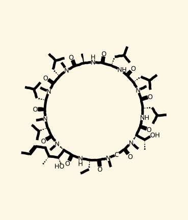 C/C=C/C[C@@H](C)[C@@H](O)[C@H]1C(=O)N[C@@H](CC)C(=O)N(C)CC(=O)N(C)[C@@H]([C@@H](C)O)C(=O)N[C@@H](CC(C)C)C(=O)N(C)[C@@H](CC(C)C)C(=O)N[C@@H](CC(C)C)C(=O)N[C@H](C)C(=O)N(C)[C@@H](CC(C)C)C(=O)N(C)[C@@H](CC(C)C)C(=O)N(C)[C@@H](C(C)C)C(=O)N1C